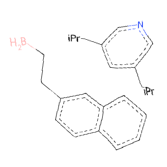 BCCc1ccc2ccccc2c1.CC(C)c1cncc(C(C)C)c1